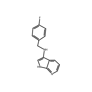 Fc1ccc(CNc2c[nH]c3ncccc23)cc1